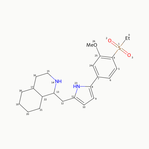 CCS(=O)(=O)c1ccc(-c2ccc(CC3NCCC4CCCCC43)[nH]2)cc1OC